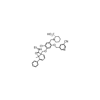 CCNC(=O)C1(COc2cc(OCc3cncc(C#N)c3)c(CN3CCCC[C@H]3C(=O)O)cc2Cl)C=CC=C(c2ccccc2)C1(C)C